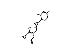 C=CCN(C[C@H]1CC1C1CCC(C)=CC1C)C(=O)C1CC1